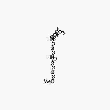 COCCOCCOCCOCCOCCC(=O)NCCOCCOCCOCCNS(=O)(=O)c1ccc(Oc2c(F)cc(C=C(C)C)cc2F)cc1